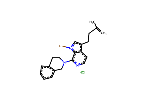 C=C(C)CCc1cn(S)c2c(N3CCc4ccccc4C3)nccc12.Cl